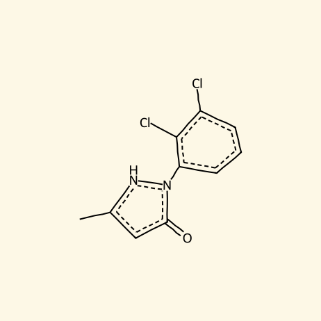 Cc1cc(=O)n(-c2cccc(Cl)c2Cl)[nH]1